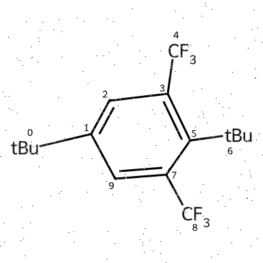 CC(C)(C)c1cc(C(F)(F)F)c(C(C)(C)C)c(C(F)(F)F)c1